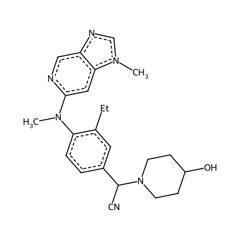 CCc1cc(C(C#N)N2CCC(O)CC2)ccc1N(C)c1cc2c(cn1)ncn2C